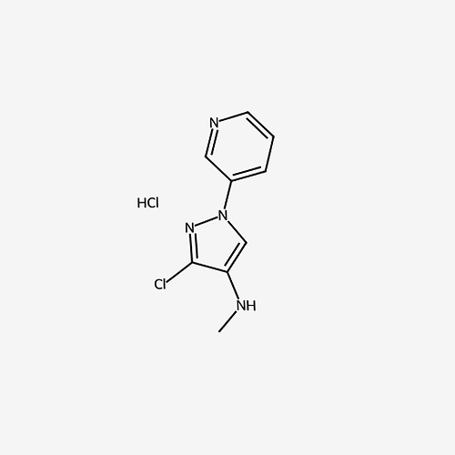 CNc1cn(-c2cccnc2)nc1Cl.Cl